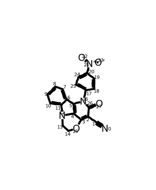 N#Cc1c2c3c(c4ccccc4n3CCO2)n(-c2ccc([N+](=O)[O-])cc2)c1=O